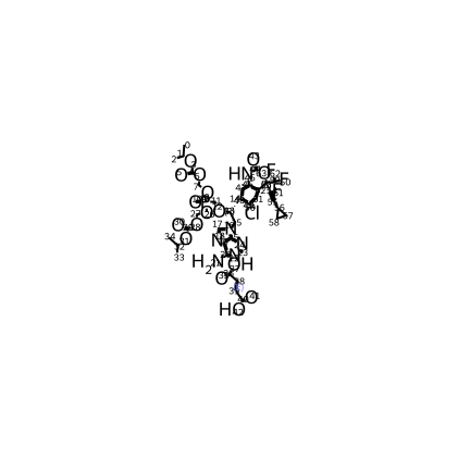 CC(C)OC(=O)OCOP(=O)(CO[C@H](C)Cn1cnc2c(N)ncnc21)OCOC(=O)OC(C)C.O=C(O)/C=C/C(=O)O.O=C1Nc2ccc(Cl)cc2[C@@](C#CC2CC2)(C(F)(F)F)O1